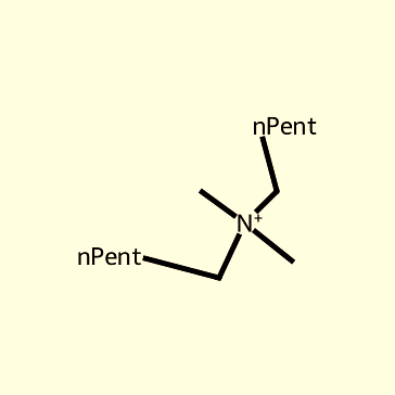 CCCCCC[N+](C)(C)CCCCCC